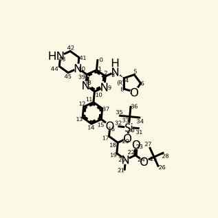 Cc1c(N[C@@H]2CCOC2)nc(-c2cccc(OCC(CN(C)C(=O)OC(C)(C)C)O[Si](C)(C)C(C)(C)C)c2)nc1N1CCNCC1